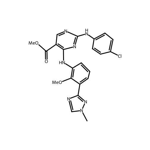 COC(=O)c1cnc(Nc2ccc(Cl)cc2)nc1Nc1cccc(-c2ncn(C)n2)c1OC